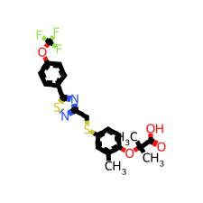 Cc1cc(SCc2nsc(-c3ccc(OC(F)(F)F)cc3)n2)ccc1OC(C)(C)C(=O)O